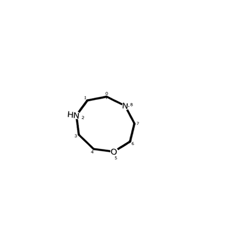 [CH]1CNCCOCC[N]1